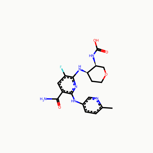 Cc1ccc(Nc2nc(N[C@@H]3CCOC[C@@H]3NC(=O)O)c(F)cc2C(N)=O)cn1